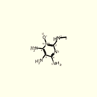 CNc1nc(N)c(N)c(N)[n+]1[O-]